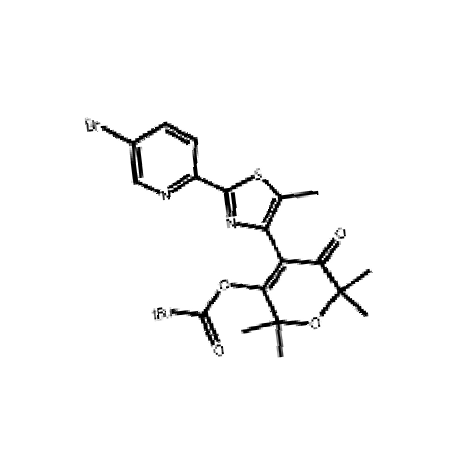 Cc1sc(-c2ccc(Br)cn2)nc1C1=C(OC(=O)C(C)(C)C)C(C)(C)OC(C)(C)C1=O